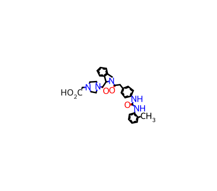 Cc1ccccc1NC(=O)Nc1ccc(CC(=O)N2Cc3ccccc3C2C(=O)N2CCN(CC(=O)O)CC2)cc1